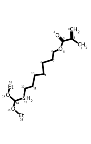 C=C(C)C(=O)OCCCCCCC[SiH2]C(OCC)OCC